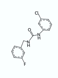 O=C(NCc1cccc(F)c1)Nc1cccc(Cl)c1